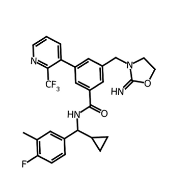 Cc1cc(C(NC(=O)c2cc(CN3CCOC3=N)cc(-c3cccnc3C(F)(F)F)c2)C2CC2)ccc1F